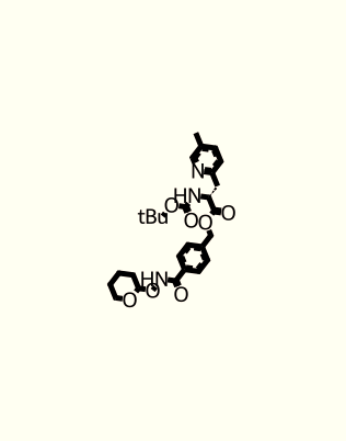 Cc1ccc(C[C@@H](NC(=O)OC(C)(C)C)C(=O)OCc2ccc(C(=O)NOC3CCCCO3)cc2)nc1